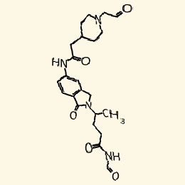 CC(CCC(=O)NC=O)N1Cc2cc(NC(=O)CC3CCN(CC=O)CC3)ccc2C1=O